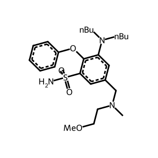 CCCCN(CCCC)c1cc(CN(C)CCOC)cc(S(N)(=O)=O)c1Oc1ccccc1